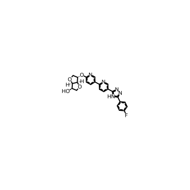 O[C@@H]1CO[C@H]2[C@@H]1OC[C@@H]2Oc1ccc(-c2ccc(-c3nnc(-c4ccc(F)cc4)[nH]3)cn2)cn1